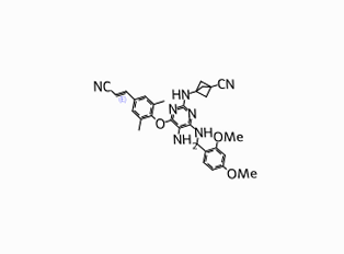 COc1ccc(CNc2nc(NC34CC(C#N)(C3)C4)nc(Oc3c(C)cc(/C=C/C#N)cc3C)c2N)c(OC)c1